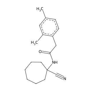 Cc1ccc(CC(=O)NC2(C#N)CCCCCC2)c(C)c1